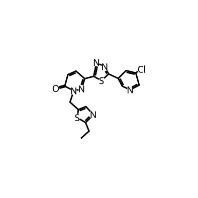 CCc1ncc(Cn2nc(-c3nnc(-c4cncc(Cl)c4)s3)ccc2=O)s1